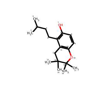 CC(C)CCc1c(O)ccc2c1CC(C)(C)C(C)(C)O2